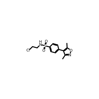 Cc1noc(C)c1-c1ccc(S(=O)(=O)NCCCl)cc1